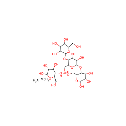 OCC1OC(OC2C(CO)OC(OC3C(CO)OC(O)C(O)C3O)C(O)C2O)C(O)C(O)C1O.OC[C@H]1OC(O)[C@H](O)[C@@H](O)[C@@H]1O.[AlH3].[MgH2]